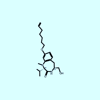 C=CCCCCCOc1ccc2c(c1)N(C)[C@@H](C(C)C)C(=O)N[C@H](CO)C2